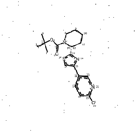 CC(C)(C)OC(=O)N1CCCC[C@@H]1c1nc(-c2ccc(Cl)nc2)cs1